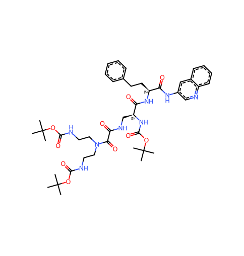 CC(C)(C)OC(=O)NCCN(CCNC(=O)OC(C)(C)C)C(=O)C(=O)NC[C@H](NC(=O)OC(C)(C)C)C(=O)N[C@@H](CCc1ccccc1)C(=O)Nc1cnc2ccccc2c1